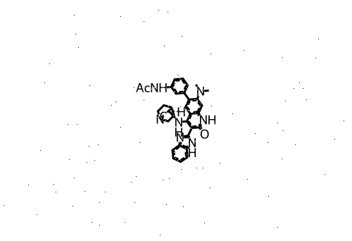 CC(=O)Nc1cccc(-c2cc3c(N[C@H]4CN5CCC4CC5)c(-c4nc5ccccc5[nH]4)c(=O)[nH]c3cc2N(C)C)c1